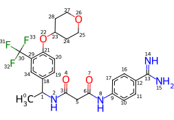 CC(NC(=O)CC(=O)Nc1ccc(C(=N)N)cc1)c1ccc(OC2CCOCC2)c(C(F)(F)F)c1